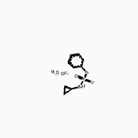 O.O.O=S(=O)([B]c1ccccc1)NC1CC1